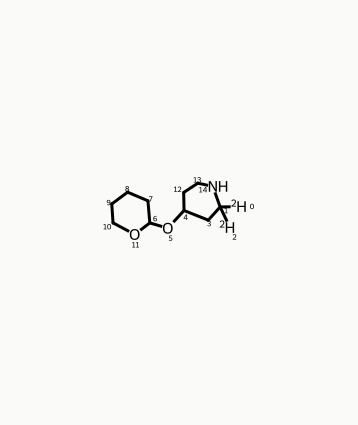 [2H]C1([2H])CC(OC2CCCCO2)CCN1